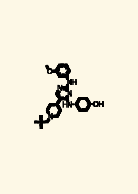 COc1cccc(Nc2ncc(C3CCN(CC(C)(C)C)CC3)c(N[C@H]3CC[C@H](O)CC3)n2)c1